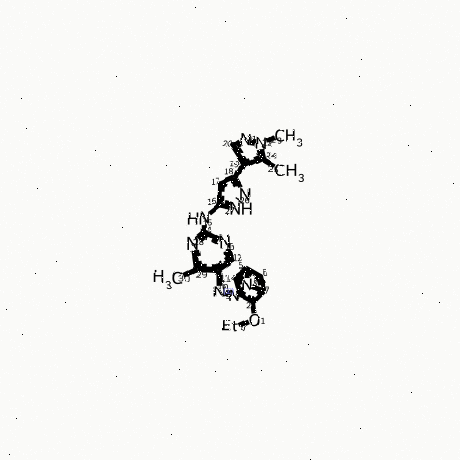 CCOc1ccc2cc1N2/N=N\c1cnc(Nc2cc(-c3cnn(C)c3C)n[nH]2)nc1C